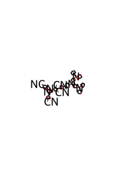 N#Cc1ccc(-c2cc(-c3cc(C#N)c(-c4ccc(-c5ccc(-n6c7ccc(N(c8ccccc8)c8ccccc8)cc7c7cc(N(c8ccccc8)c8ccccc8)ccc76)cc5)cc4)c(C#N)c3)nc(-c3ccc(C#N)cc3)n2)cc1